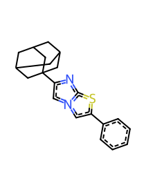 c1ccc(-c2cn3cc(C45CC6CC(CC(C6)C4)C5)nc3s2)cc1